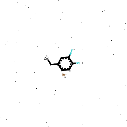 Fc1ccc([CH2][Zn+])cc1F.[Br-]